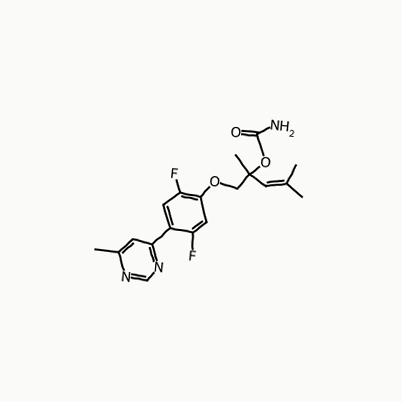 CC(C)=CC(C)(COc1cc(F)c(-c2cc(C)ncn2)cc1F)OC(N)=O